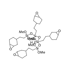 CO[Si](CCC1CCC2OC2C1)(OC)O[Si](C)(CCC1CCC2OC2C1)O[Si](CCC1CCC2OC2C1)(OC)O[Si](CCC1CCC2OC2C1)(OC)OC